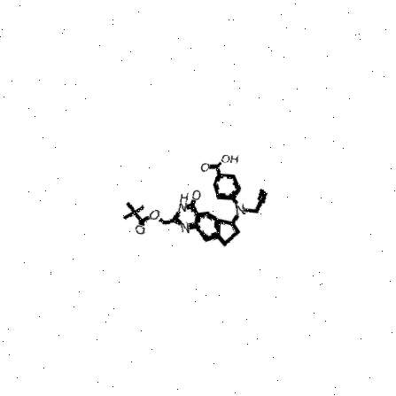 C#CCN(c1ccc(C(=O)O)cc1)C1CCc2cc3nc(COC(=O)C(C)(C)C)[nH]c(=O)c3cc21